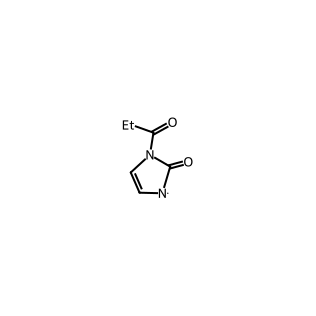 CCC(=O)N1C=C[N]C1=O